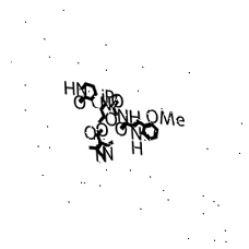 COc1cccc2[nH]c(C(=O)NCC(=O)N(C(C)C)[C@@H](C[C@@H]3CCCNC3=O)C(=O)COC(=O)c3c(C)nn(C)c3C)cc12